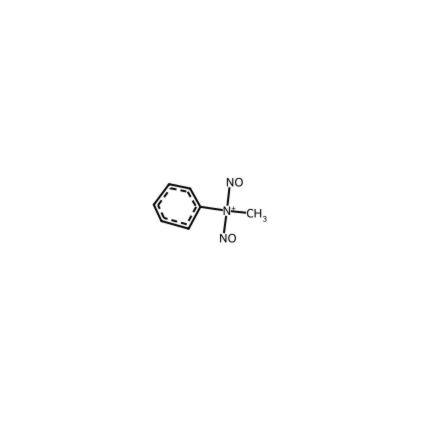 C[N+](N=O)(N=O)c1ccccc1